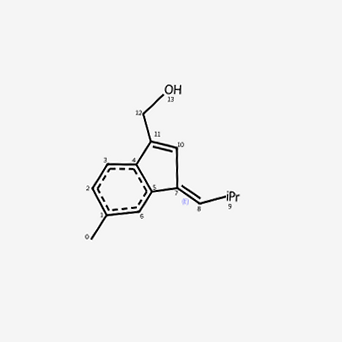 Cc1ccc2c(c1)/C(=C/C(C)C)C=C2CO